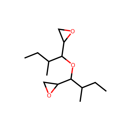 CCC(C)C(OC(C(C)CC)C1CO1)C1CO1